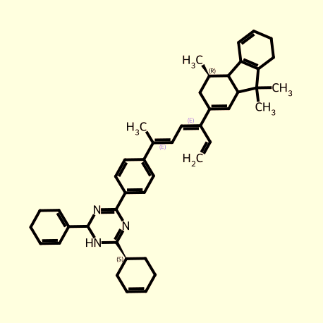 C=C/C(=C\C=C(/C)c1ccc(C2=NC(C3=CCCC=C3)NC([C@@H]3CC=CCC3)=N2)cc1)C1=CC2C(C3=C(CCC=C3)C2(C)C)[C@H](C)C1